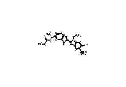 COC(=O)c1cc2nc(-c3cc4ccc([C@@H](C)NC(=O)OC(C)(C)C)nc4[nH]3)n(CC(F)(F)F)c2cc1F